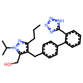 CCCc1nn(C(C)C)c(CO)c1Cc1ccc(-c2ccccc2-c2nnn[nH]2)cc1